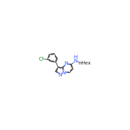 CCCCCCNc1ccn2ncc(-c3cccc(Cl)c3)c2n1